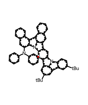 CC(C)(C)c1ccc2c(c1)c1cc(C(C)(C)C)cc3c4nc5c(cc4n2c13)c1cc2ccccc2c2c3c4ccccc4cc(N(c4ccccc4)c4ccccc4)c3n5c12